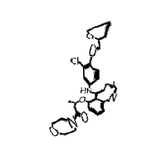 C[C@@H](Oc1cccc2ncnc(Nc3ccc(OCC4CCCCO4)c(Cl)c3)c12)C(=O)N1CCOCC1